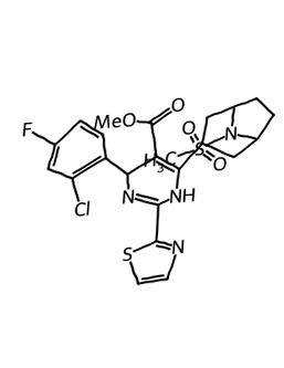 COC(=O)C1=C(C2CC3CCC(C2)N3S(C)(=O)=O)NC(c2nccs2)=NC1c1ccc(F)cc1Cl